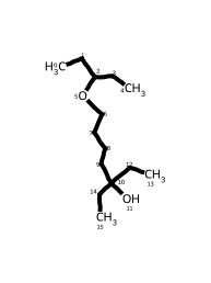 CCC(CC)OCCCCC(O)(CC)CC